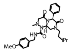 COc1ccc(CNC(=O)N2[C@H]3CN(CCC(C)C)C(=O)[C@H](c4ccccc4)N3C(=O)CN2C)cc1